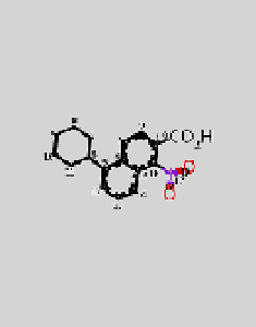 O=C(O)c1ccc2c(C3CCCCC3)cccc2c1I(=O)=O